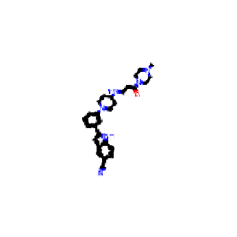 CN1CCN(C(=O)CCNC2CCN(c3cccc(-c4cc5cc(C#N)ccc5[nH]4)c3)CC2)CC1